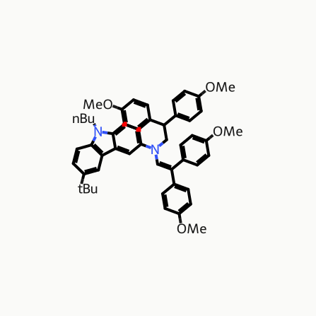 CCCCn1c2ccc(N(C=C(c3ccc(OC)cc3)c3ccc(OC)cc3)CC(c3ccc(OC)cc3)c3ccc(OC)cc3)cc2c2cc(C(C)(C)C)ccc21